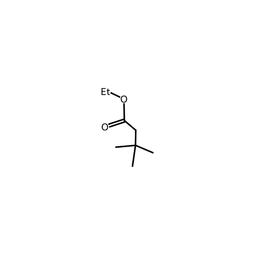 CCOC(=O)CC(C)(C)C